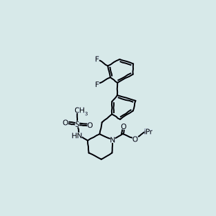 CC(C)OC(=O)N1CCCC(NS(C)(=O)=O)C1Cc1cccc(-c2cccc(F)c2F)c1